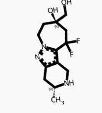 C[C@@H]1Cc2nn3c(c2CN1)C(F)(F)C[C@@](O)(CO)CC3